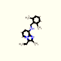 C=Cc1c(C)nc2c(NCc3c(C)cccc3C)cccn12